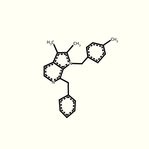 Cc1ccc(Cn2c(C)c(C)c3ccnc(Cc4ccccc4)c32)cc1